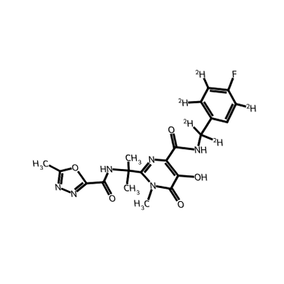 [2H]c1cc(C([2H])([2H])NC(=O)c2nc(C(C)(C)NC(=O)c3nnc(C)o3)n(C)c(=O)c2O)c([2H])c([2H])c1F